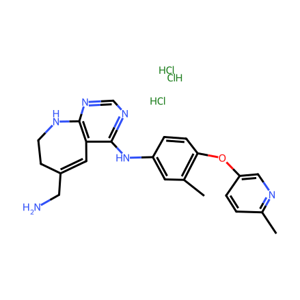 Cc1ccc(Oc2ccc(Nc3ncnc4c3C=C(CN)CCN4)cc2C)cn1.Cl.Cl.Cl